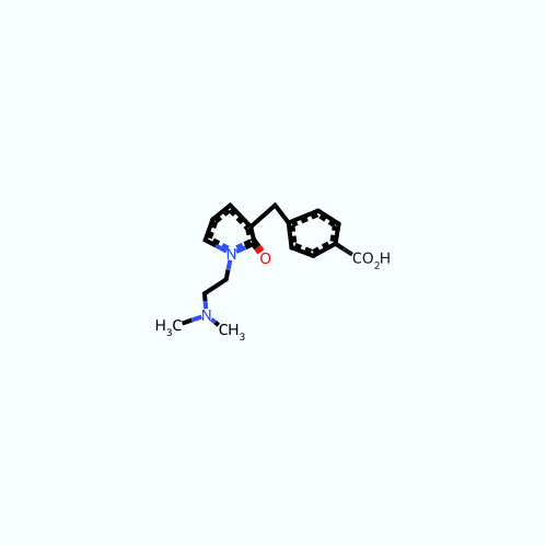 CN(C)CCn1cccc(Cc2ccc(C(=O)O)cc2)c1=O